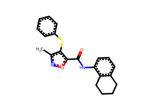 Cc1noc(C(=O)Nc2cccc3c2CCCC3)c1Sc1ccccc1